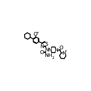 COc1cc(-c2csc(N(C(N)=O)N3CCN(C(=O)C4CCCCN4C)CC3)n2)ccc1C1CCCCC1